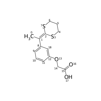 CC(=C1SCCCS1)c1cccc(OCC(=O)O)c1